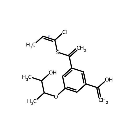 C=C(O)c1cc(OC(C)C(C)O)cc(C(=C)S/C(Cl)=C\C)c1